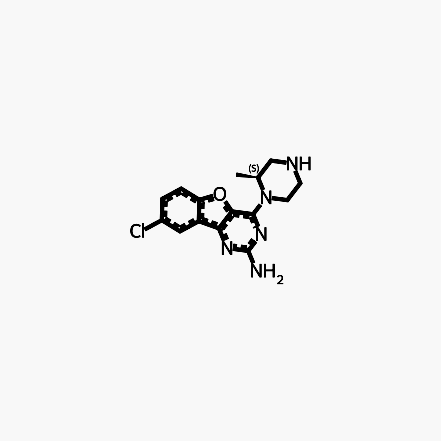 C[C@H]1CNCCN1c1nc(N)nc2c1oc1ccc(Cl)cc12